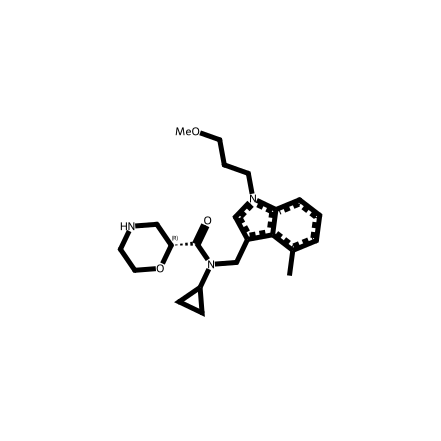 COCCCn1cc(CN(C(=O)[C@H]2CNCCO2)C2CC2)c2c(C)cccc21